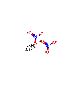 O=[N+]([O-])[O-].O=[N+]([O-])[O-].[Ca+2].[KH]